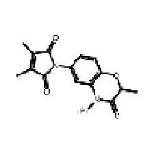 CCCN1C(=O)C(C)Oc2ccc(N3C(=O)C(C)=C(C)C3=O)cc21